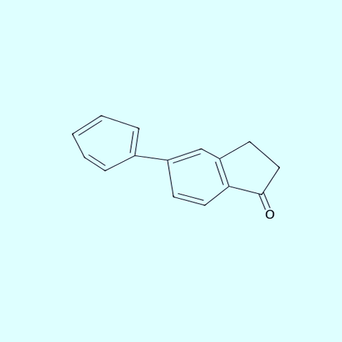 O=C1CCc2cc(-c3ccccc3)ccc21